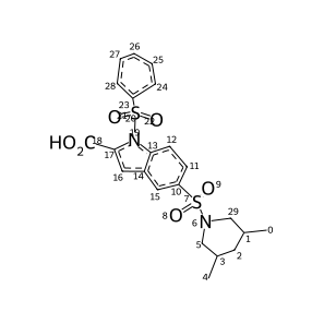 CC1CC(C)CN(S(=O)(=O)c2ccc3c(c2)cc(C(=O)O)n3S(=O)(=O)c2ccccc2)C1